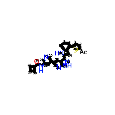 CC(=O)c1ccc(-c2cccc3[nH]c(-c4n[nH]c5ncc(-c6cncc(NC(=O)C7CCC7)c6)cc45)cc23)s1